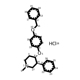 CN1CC[C@H](Oc2ccc(OCc3ccccc3)cc2)[C@@H](c2ccccc2)C1.Cl